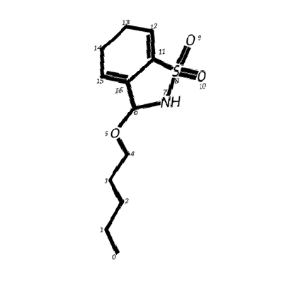 CCCCCOC1NS(=O)(=O)C2=CCCC=C21